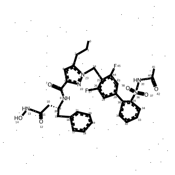 CCCc1cc(C(=O)N[C@@H](CC(=O)NO)Cc2ccccc2)nn1Cc1c(F)cc(-c2ccccc2S(=O)(=O)NC(C)=O)cc1F